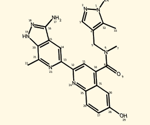 CCn1ncc(CN(C)C(=O)c2cc(-c3cc4c(N)n[nH]c4c(C)n3)nc3ccc(O)cc23)c1C